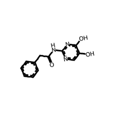 O=C(Cc1ccccc1)Nc1ncc(O)c(O)n1